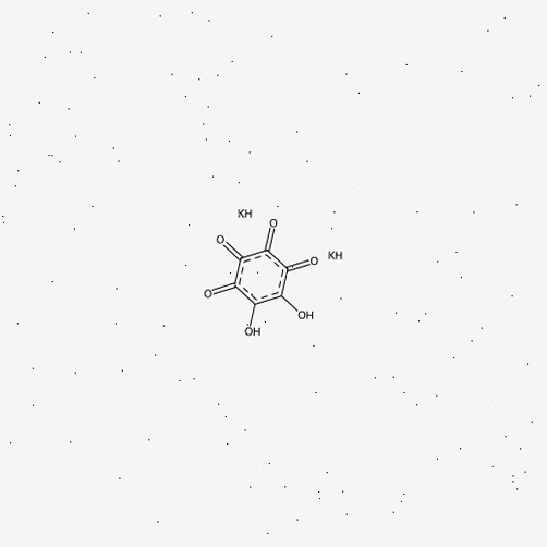 O=c1c(O)c(O)c(=O)c(=O)c1=O.[KH].[KH]